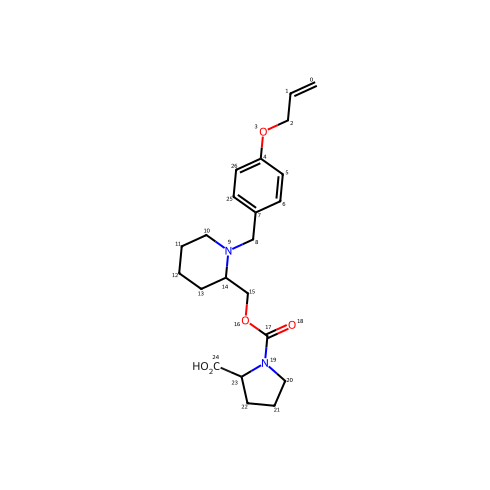 C=CCOc1ccc(CN2CCCCC2COC(=O)N2CCCC2C(=O)O)cc1